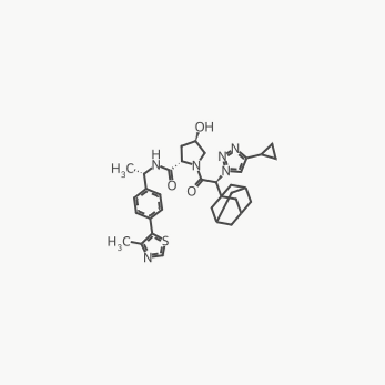 Cc1ncsc1-c1ccc([C@H](C)NC(=O)[C@@H]2C[C@@H](O)CN2C(=O)[C@@H](n2cc(C3CC3)nn2)C23CC4CC(CC(C4)C2)C3)cc1